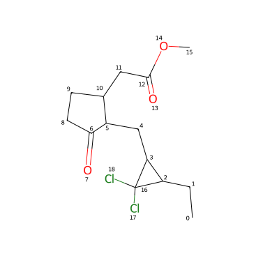 CCC1C(CC2C(=O)CCC2CC(=O)OC)C1(Cl)Cl